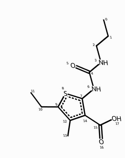 CCCNC(=O)Nc1sc(CC)c(C)c1C(=O)O